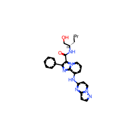 CC(C)C[C@@H](CO)NC(=O)c1c(-c2ccccc2)nc2c(Nc3ccn4nccc4n3)cccn12